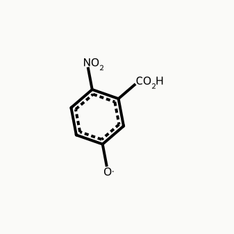 [O]c1ccc([N+](=O)[O-])c(C(=O)O)c1